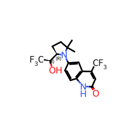 CC1(C)CC[C@H]([C@@H](O)C(F)(F)F)N1c1ccc2[nH]c(=O)cc(C(F)(F)F)c2c1